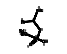 CCCCC(CC)CP(=O)(O)O.[Nd]